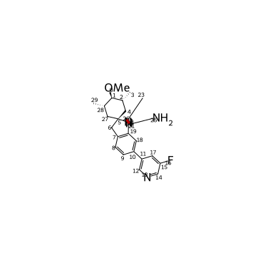 CO[C@H]1[C@H](C)C[C@@]2(Cc3ccc(-c4cncc(F)c4)cc3[C@@]23N=C(C)C(N)=N3)C[C@@H]1C